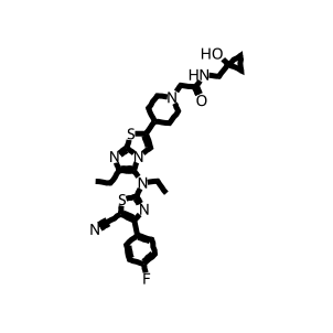 CCc1nc2sc(C3CCN(CC(=O)NCC4(O)CC4)CC3)cn2c1N(CC)c1nc(-c2ccc(F)cc2)c(C#N)s1